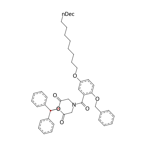 CCCCCCCCCCCCCCCCCCOc1ccc(OCc2ccccc2)c(C(=O)N(CC(=O)OCc2ccccc2)CC(=O)OCc2ccccc2)c1